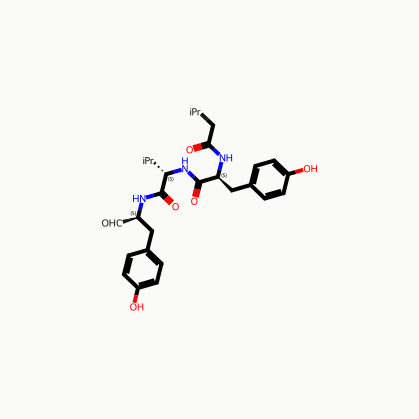 CC(C)CC(=O)N[C@@H](Cc1ccc(O)cc1)C(=O)N[C@H](C(=O)N[C@H](C=O)Cc1ccc(O)cc1)C(C)C